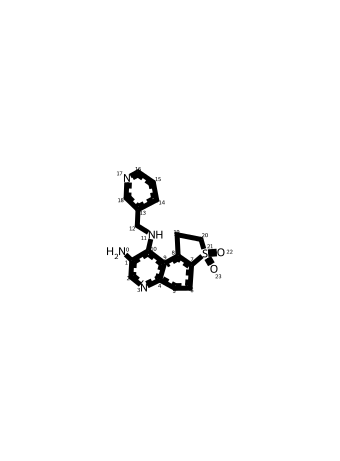 Nc1cnc2ccc3c(c2c1NCc1cccnc1)CCS3(=O)=O